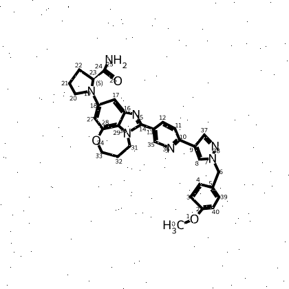 COc1ccc(Cn2cc(-c3ccc(-c4nc5cc(N6CCC[C@H]6C(N)=O)cc6c5n4CCCO6)cn3)cn2)cc1